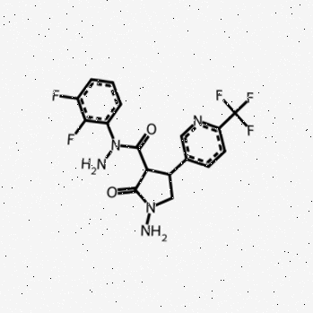 NN1CC(c2ccc(C(F)(F)F)nc2)C(C(=O)N(N)c2cccc(F)c2F)C1=O